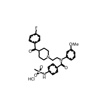 COc1cccc(N(CCN2CCC(C(=O)c3ccc(F)cc3)CC2)C(=O)c2ccc(NS(C)(=O)=O)cc2)c1.Cl